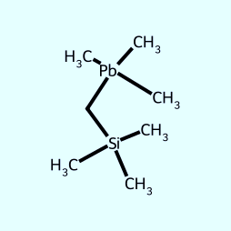 C[Si](C)(C)[CH2][Pb]([CH3])([CH3])[CH3]